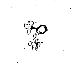 O=C([O-])c1ccccn1.O=[N+]([O-])[O-].[Cr].[Fe]